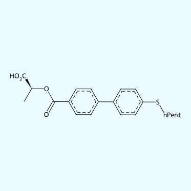 CCCCCSc1ccc(-c2ccc(C(=O)O[C@@H](C)C(=O)O)cc2)cc1